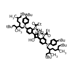 CCCCc1ccc(N(CC(CCC(C)CC(C)(C)C)C(C)CC(C)(C)C)c2ccc(C3=C(O)/C(=C4\C=CC(N(CC(CCC(C)CC(C)(C)C)C(C)CC(C)(C)C)c5ccc(CCCC)cc5)C=C4N(C)C(=O)CC)C3=O)c(N(C)C(=O)CC)c2)cc1